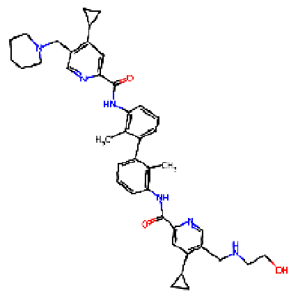 Cc1c(NC(=O)c2cc(C3CC3)c(CNCCO)cn2)cccc1-c1cccc(NC(=O)c2cc(C3CC3)c(CN3CCCCC3)cn2)c1C